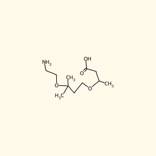 CC(CC(=O)O)OCCC(C)(C)OCCN